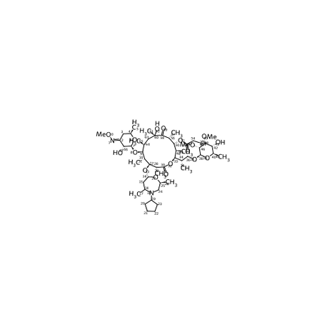 CO/N=C1\C[C@@H](C)O[C@@H](O[C@@H]2[C@@H](C)[C@H](O[C@H]3CC(C)N(C4CCCC4)C[C@H](C)O3)[C@@H](C)C(=O)O[C@H]([C@@H](C)CO[C@@H]3O[C@H](C)[C@@H](O)[C@@H](OC)[C@H]3OC)[C@H](C)[C@@H](OC(=O)CC(C)C)[C@@H](C)C(=O)[C@@](C)(O)C[C@@H]2C)[C@@H]1O